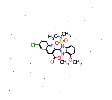 COC(=O)c1cc2cc(Cl)ccc2nc1-c1nc2c(OC)cccc2n1S(=O)(=O)N(C)C